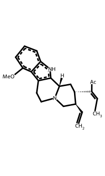 C=C[C@H]1CN2CCc3c([nH]c4cccc(OC)c34)[C@@H]2C[C@@H]1/C(=C\C)C(C)=O